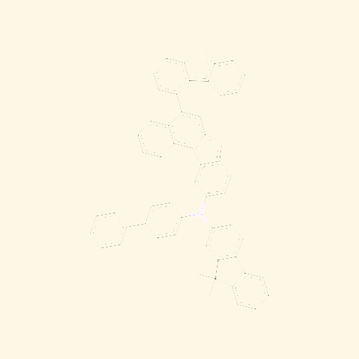 CC1(C)c2ccccc2-c2ccc(N(c3ccc(-c4ccccc4)cc3)c3ccc4oc5cc(-c6cccc7oc8ccccc8c67)c6ccccc6c5c4c3)cc21